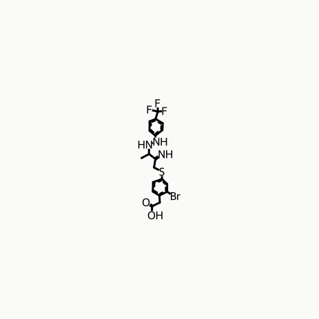 CC(NNc1ccc(C(F)(F)F)cc1)C(=N)CSc1ccc(CC(=O)O)c(Br)c1